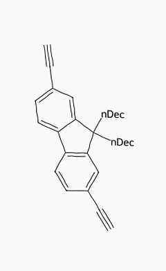 C#Cc1ccc2c(c1)C(CCCCCCCCCC)(CCCCCCCCCC)c1cc(C#C)ccc1-2